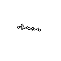 C1=C[C@H]([C@@H]2C=C[C@@H]3CN(C4=CCCCC4)C4=C(CCCC4)C3C2)CC2=CC[C@H](C3C=CC4=C[C@@H](C5C=CC6=CCCCC6C5)CC[C@H]4C3)C=C12